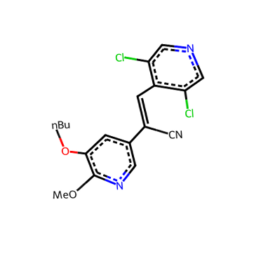 CCCCOc1cc(C(C#N)=Cc2c(Cl)cncc2Cl)cnc1OC